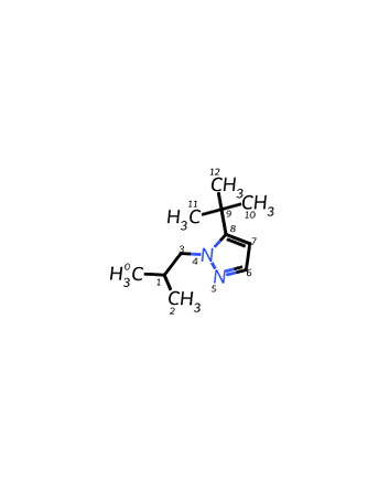 CC(C)Cn1nccc1C(C)(C)C